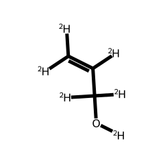 [2H]OC([2H])([2H])C([2H])=C([2H])[2H]